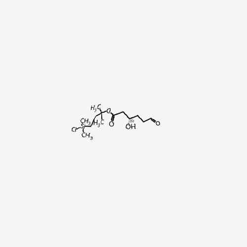 CC(C)(CC[Si](C)(C)Cl)OC(=O)C[C@@H](O)CCC=O